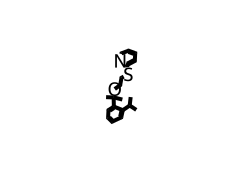 CC(C)c1ccccc1C(C)(C)OCCSc1ccccn1